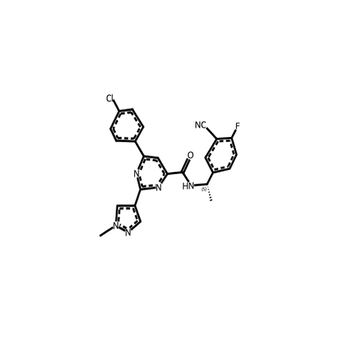 C[C@H](NC(=O)c1cc(-c2ccc(Cl)cc2)nc(-c2cnn(C)c2)n1)c1ccc(F)c(C#N)c1